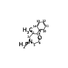 CC1CN(P)CCOC1c1ccccc1